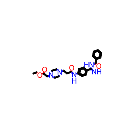 CCOC(=O)CN1CCN(CCC(=O)Nc2ccc(C(=N)NC(=O)c3ccccc3)cc2)CC1